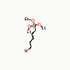 CCO[Si](CCCCCBr)(OCC)OCC